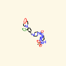 CS(=O)(=O)Nc1ccn(C(=O)N2CCN(Cc3ccc(N4CCOCC4)c(Cl)c3)CC2)n1